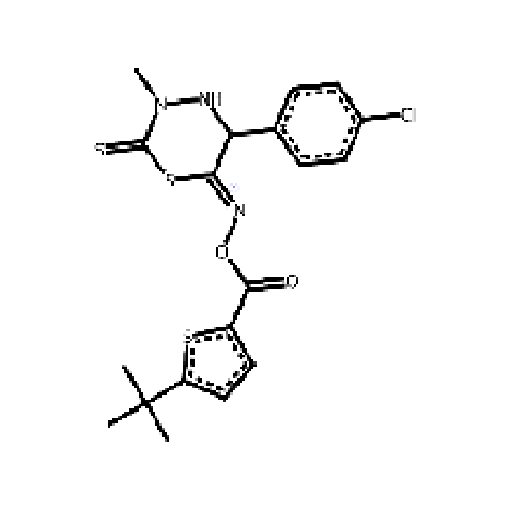 CN1NC(c2ccc(Cl)cc2)/C(=N/OC(=O)c2ccc(C(C)(C)C)s2)SC1=S